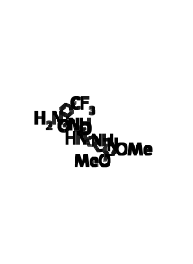 COc1cc(OC)c(CC2CC(NC(=O)CNC(=O)c3cc(C(F)(F)F)ccc3N)CN2)cn1